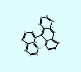 c1ccc2c(-c3cccc4cccnc34)c3cccnc3cc2c1